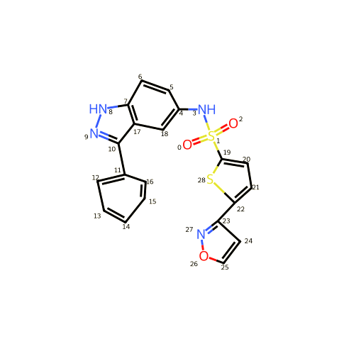 O=S(=O)(Nc1ccc2[nH]nc(-c3ccccc3)c2c1)c1ccc(-c2ccon2)s1